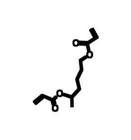 C=CC(=O)OCCCCC(C)OC(=O)C=C